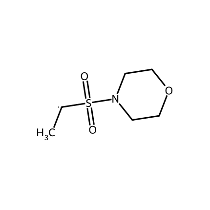 C[CH]S(=O)(=O)N1CCOCC1